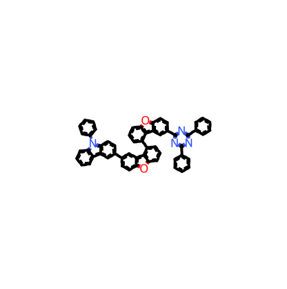 c1ccc(-c2nc(-c3ccccc3)nc(-c3ccc4oc5cccc(-c6cccc7oc8ccc(-c9ccc%10c(c9)c9ccccc9n%10-c9ccccc9)cc8c67)c5c4c3)n2)cc1